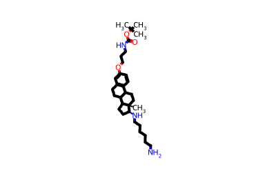 CC(C)(C)OC(=O)NCCCOc1ccc2c(c1)CCC1C2CC[C@@]2(C)C1CC[C@@H]2NCCCCCCN